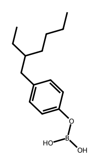 CCCCC(CC)Cc1ccc(OB(O)O)cc1